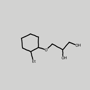 CCC1CCCCC1OCC(O)CO